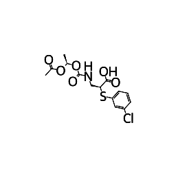 CC(=O)O[C@@H](C)OC(=O)NC[C@H](Sc1cccc(Cl)c1)C(=O)O